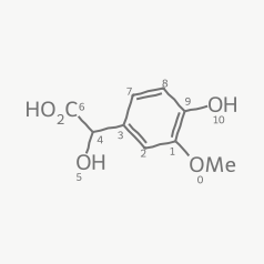 COc1cc(C(O)C(=O)O)ccc1O